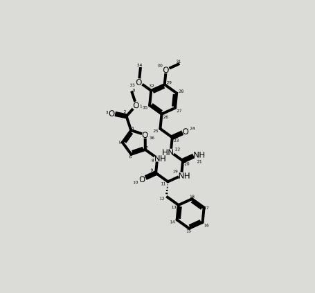 COC(=O)c1ccc(NC(=O)[C@@H](Cc2ccccc2)NC(=N)NC(=O)Cc2ccc(OC)c(OC)c2)o1